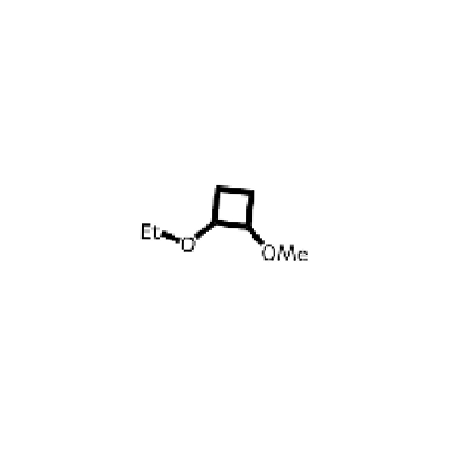 CCOC1CCC1OC